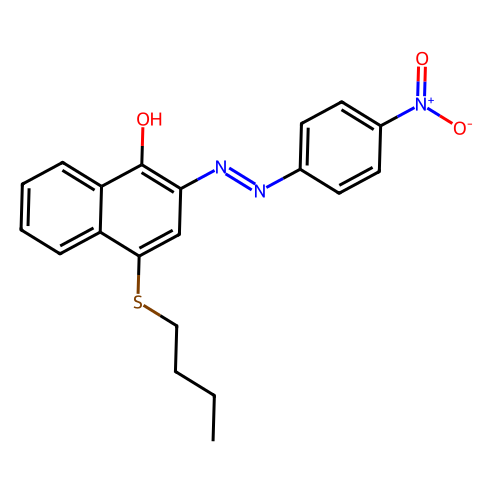 CCCCSc1cc(/N=N/c2ccc([N+](=O)[O-])cc2)c(O)c2ccccc12